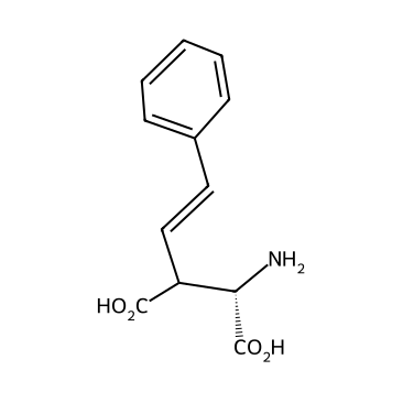 N[C@H](C(=O)O)C(/C=C/c1ccccc1)C(=O)O